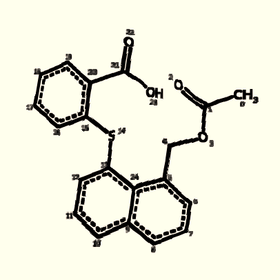 CC(=O)OCc1cccc2cccc(Sc3ccccc3C(=O)O)c12